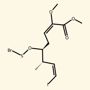 COC(=O)/C(=C\C[C@H](OSBr)[C@@H](C)/C=C\I)OC